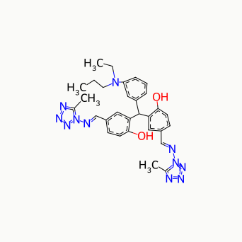 CCCN(CC)c1cccc(C(c2cc(C=Nn3nnnc3C)ccc2O)c2cc(C=Nn3nnnc3C)ccc2O)c1